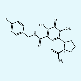 Cn1c(N2CCC[C@H]2C(N)=O)nc(C(=O)NCc2ccc(F)cc2)c(O)c1=O